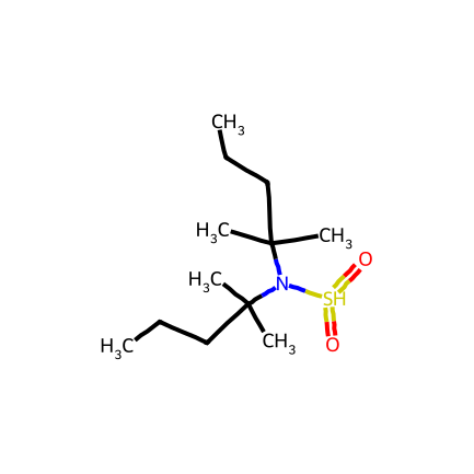 CCCC(C)(C)N([SH](=O)=O)C(C)(C)CCC